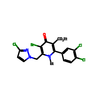 CCOC(=O)c1c(-c2ccc(Cl)c(Cl)c2)n(CC)c(Cn2ccc(Cl)n2)c(Br)c1=O